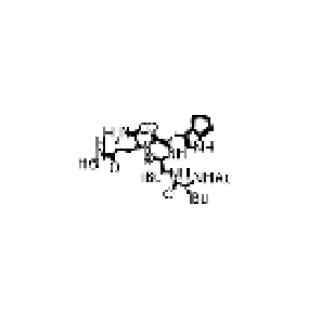 CCC(C)[C@H](NC(C)=O)C(=O)N[C@H](C(=O)N[C@@H](Cc1c[nH]c2ccccc12)C(=O)N[C@@H](CCC(=O)NO)C(N)=O)C(C)CC